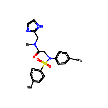 CCN(Cc1ncc[nH]1)C(=O)CN(c1ccc(C)cc1)S(=O)(=O)c1ccc(C(C)(C)C)cc1